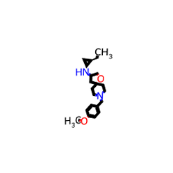 CC[C@@H]1C[C@H]1NC1COC2(CCN(Cc3ccc(OC)cc3)CC2)C1